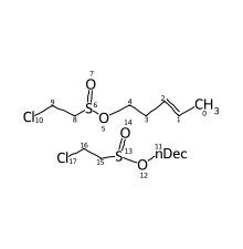 CC=CCCOS(=O)CCCl.CCCCCCCCCCOS(=O)CCCl